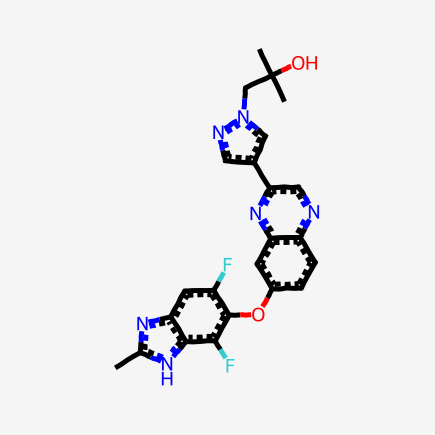 Cc1nc2cc(F)c(Oc3ccc4ncc(-c5cnn(CC(C)(C)O)c5)nc4c3)c(F)c2[nH]1